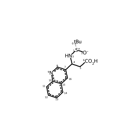 CC(C)(C)[S@+]([O-])NC(CC(=O)O)c1cnc2ccccc2c1